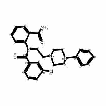 NC(=O)c1ccccc1N(CCN1CCN(c2ccccc2)CC1)C(=O)c1cccc(Cl)c1